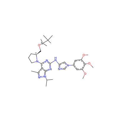 COc1cc(-n2cnc(Nc3nc(N4CCC[C@H]4CO[Si](C)(C)C(C)(C)C)c4c(C)nn(C(C)C)c4n3)c2)cc(OC)c1OC